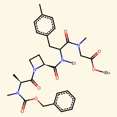 CCN(C(=O)[C@@H]1CCN1C(=O)[C@H](C)N(C)C(=O)OCc1ccccc1)C(Cc1ccc(C)cc1)C(=O)N(C)CC(=O)OC(C)(C)C